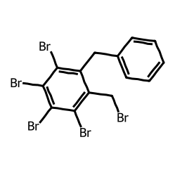 BrCc1c(Br)c(Br)c(Br)c(Br)c1Cc1ccccc1